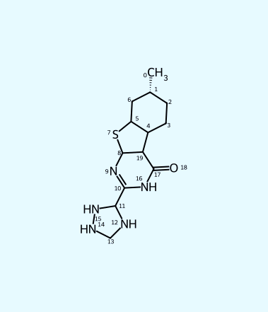 C[C@@H]1CCC2C(C1)SC1N=C(C3NCNN3)NC(=O)C12